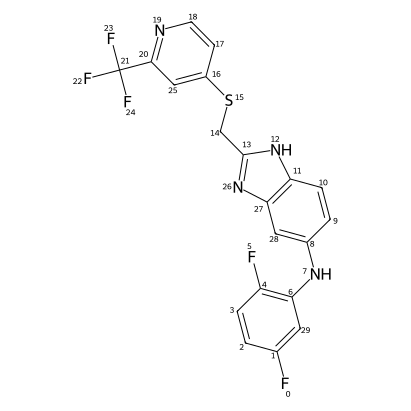 Fc1ccc(F)c(Nc2ccc3[nH]c(CSc4ccnc(C(F)(F)F)c4)nc3c2)c1